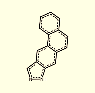 [c]1cccc2ccc3cc4[nH]ncc4cc3c12